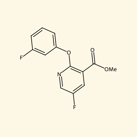 COC(=O)c1cc(F)cnc1Oc1cccc(F)c1